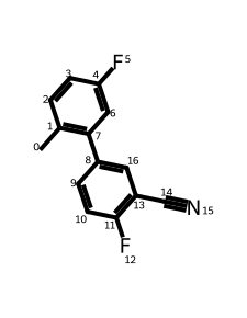 Cc1ccc(F)cc1-c1ccc(F)c(C#N)c1